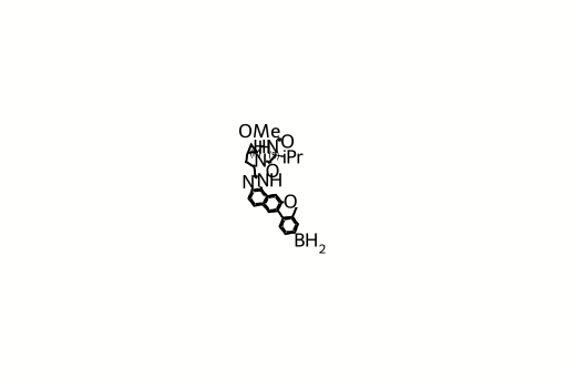 Bc1ccc2c(c1)COc1cc3c(ccc4nc(C5CC6C[C@H]6N5C(=O)[C@@H](NC(=O)OC)C(C)C)[nH]c43)cc1-2